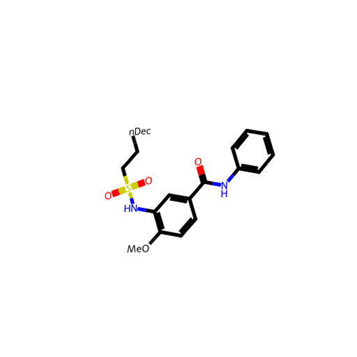 CCCCCCCCCCCCS(=O)(=O)Nc1cc(C(=O)Nc2ccccc2)ccc1OC